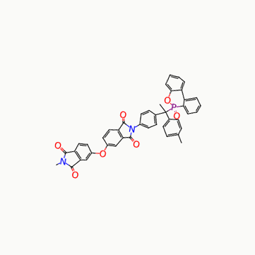 Cc1ccc(C(C)(c2ccc(N3C(=O)c4ccc(Oc5ccc6c(c5)C(=O)N(C)C6=O)cc4C3=O)cc2)P2(=O)Oc3ccccc3-c3ccccc32)cc1